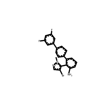 Cn1ncc(Br)c1-c1c(N)cccc1-c1ccc(-c2cc(F)cc(F)c2)cc1